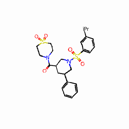 CC(C)c1cccc(S(=O)(=O)N2CC(C(=O)N3CCS(=O)(=O)CC3)CC(c3ccccc3)C2)c1